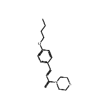 C=C(/C=C/c1ccc(OCCCC)cc1)N1CCSCC1